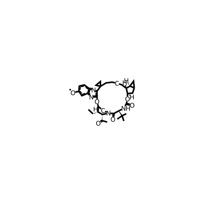 CC[C@@H]1[C@@H]2CN(C(=O)[C@H](C(C)(C)C)NC(=O)O[C@@H]3CC4C[C@@H]4[C@H]3CCCCC3(CC3)c3nc4ccc(OC)cc4nc3O2)[C@@H]1C(C)=O